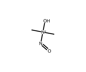 C[N+](C)(O)N=O